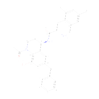 CC(=O)N1CC[C@@H](NC(=O)[C@@H](N)Cc2c(C)cc(C)cc2C)c2cc(Cc3ccccc3)cc(O)c21